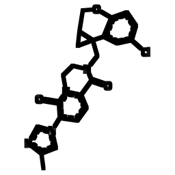 Cc1cn(-c2ccc3n(c2=O)CCN(CC24CC2COc2ccc(Cl)cc24)C3=O)cn1